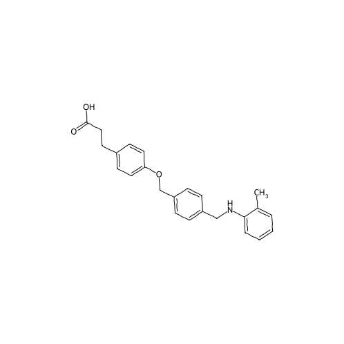 Cc1ccccc1NCc1ccc(COc2ccc(CCC(=O)O)cc2)cc1